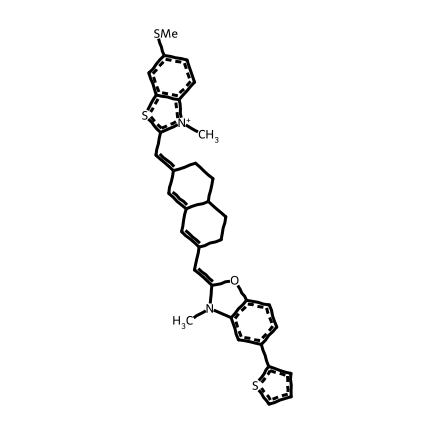 CSc1ccc2c(c1)sc(/C=C1/C=C3C=C(/C=C4\Oc5ccc(-c6cccs6)cc5N4C)CCC3CC1)[n+]2C